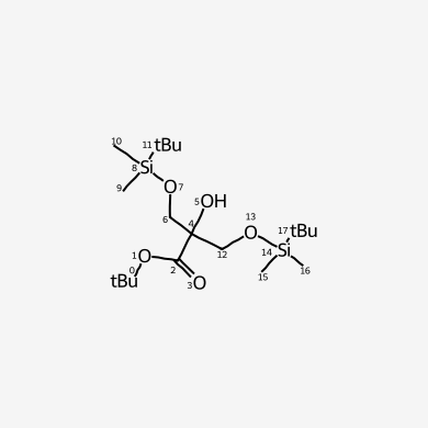 CC(C)(C)OC(=O)C(O)(CO[Si](C)(C)C(C)(C)C)CO[Si](C)(C)C(C)(C)C